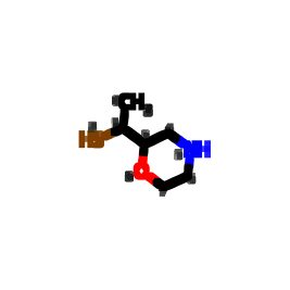 CC(S)C1CNCCO1